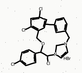 Br.Cc1cccc(CN2C=CN(C(Cl)C(OCc3ccc(Cl)cc3Cl)c3ccc(Cl)cc3)C2)c1